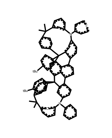 CC(C)(C)c1ccc(C23c4ccc(cc4)C(C)(C)c4cccc(c4)N(c4ccccc4)c4ccc(c2c4)-c2ccc4c5c(ccc3c25)C2(c3ccc(C(C)(C)C)cc3)c3ccc(cc3)C(C)(C)c3cccc(c3)N(c3ccccc3)c3ccc-4c2c3)cc1